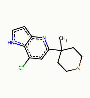 CC1(c2cc(Cl)c3[nH]ccc3n2)CCSCC1